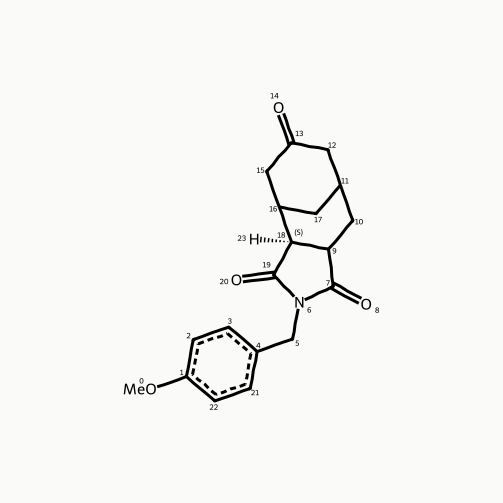 COc1ccc(CN2C(=O)C3CC4CC(=O)CC(C4)[C@@H]3C2=O)cc1